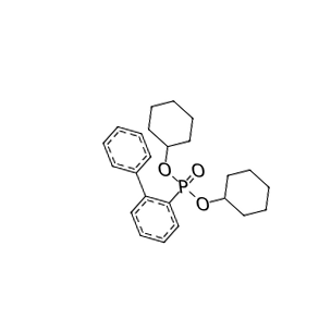 O=P(OC1CCCCC1)(OC1CCCCC1)c1ccccc1-c1ccccc1